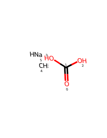 O=C(O)O.[CH].[NaH]